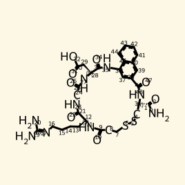 NC(=O)[C@@H]1CSSCCC(=O)N[C@@H](CCCCN=C(N)N)C(=O)NCC(=O)N[C@@H](CC(=O)O)C(=O)Nc2cc(cc3ccccc23)C(=O)N1